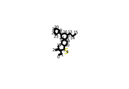 C=CC(C(=S)C1CCC2(CC1)CC(CCC)CC(c1ccccc1)C2)=C(C)C